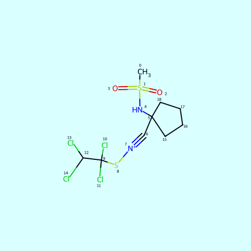 CS(=O)(=O)NC1(C#[N+]SC(Cl)(Cl)C(Cl)Cl)CCCC1